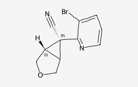 N#C[C@]1(c2ncccc2Br)C2COC[C@@H]21